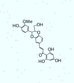 COc1cc(C2Oc3cc(/C=C/C(=O)c4c(O)cc(O)cc4O)ccc3OC2CO)ccc1O